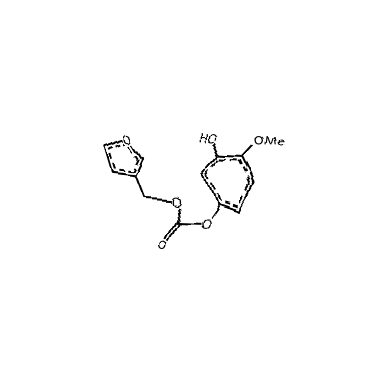 COc1ccc(OC(=O)OCc2ccoc2)cc1O